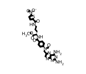 COC(=O)[C@H](CCCNC(=O)c1ccc([N+](=O)[O-])s1)NC(=O)c1ccc(N(C=O)Cc2cnc3nc(N)nc(N)c3n2)cc1